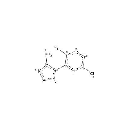 Nc1ncsc1-c1cc(Cl)ccc1F